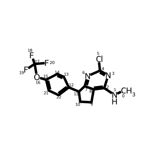 CNc1nc(Cl)nc2c1CCC2c1ccc(OC(F)(F)F)cc1